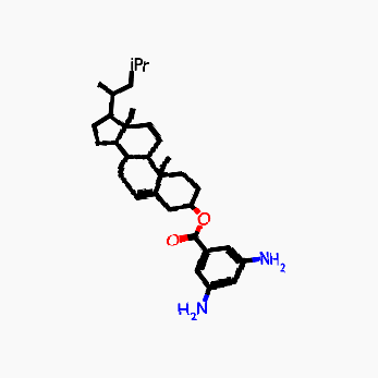 CC(C)CC(C)C1CCC2C3CC=C4CC(OC(=O)c5cc(N)cc(N)c5)CCC4(C)C3CCC12C